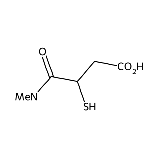 CNC(=O)C(S)CC(=O)O